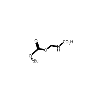 CC(C)(C)OC(=O)OCNC(=O)O